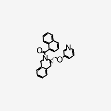 O=C(c1cccc2ccccc12)N1Cc2ccccc2C[C@H]1COc1cccnc1